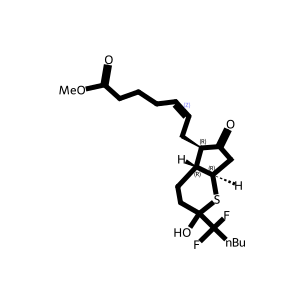 CCCCC(F)(F)C1(O)CC[C@H]2[C@@H](CC(=O)[C@@H]2C/C=C\CCCC(=O)OC)S1